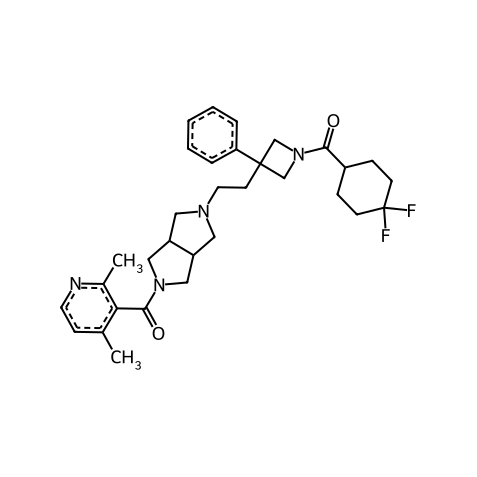 Cc1ccnc(C)c1C(=O)N1CC2CN(CCC3(c4ccccc4)CN(C(=O)C4CCC(F)(F)CC4)C3)CC2C1